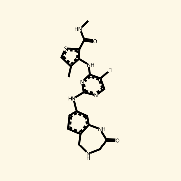 CNC(=O)c1scc(C)c1Nc1nc(Nc2ccc3c(c2)NC(=O)CNC3)ncc1Cl